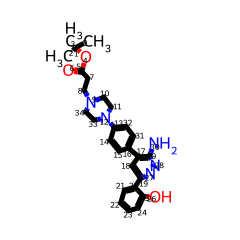 CC(C)(C)OC(=O)CCN1CCN(c2ccc(-c3cc(-c4ccccc4O)nnc3N)cc2)CC1